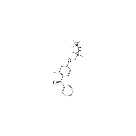 Cc1cc(OC[Si](C)(C)O[Si](C)(C)C)ccc1C(=O)c1ccccc1